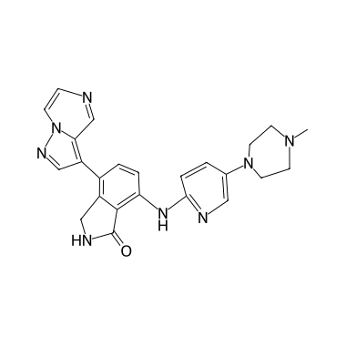 CN1CCN(c2ccc(Nc3ccc(-c4cnn5ccncc45)c4c3C(=O)NC4)nc2)CC1